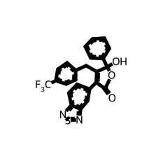 O=C1OC(O)(c2ccccc2)C(Cc2ccc(C(F)(F)F)cc2)=C1c1ccc2nsnc2c1